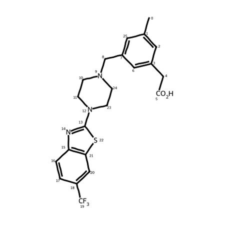 Cc1cc(CC(=O)O)cc(CN2CCN(c3nc4ccc(C(F)(F)F)cc4s3)CC2)c1